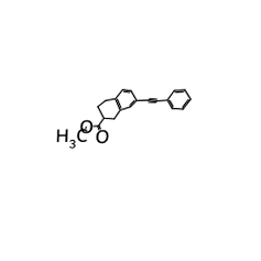 COC(=O)C1CCc2ccc(C#Cc3ccccc3)cc2C1